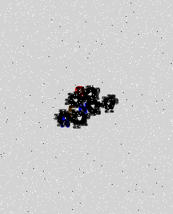 c1ccc(-c2ccc(N(c3cccc4c3sc3cccnc34)c3cccc4oc5ccccc5c34)cc2)cc1